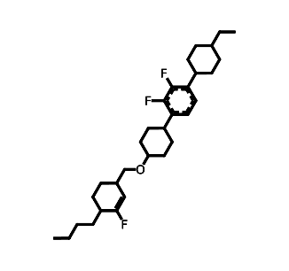 CCCCC1CCC(COC2CCC(c3ccc(C4CCC(CC)CC4)c(F)c3F)CC2)C=C1F